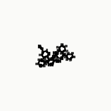 N#Cc1cnc(C(=N)OC(=N)N[C@H]2N=C(c3ccccc3)c3ccccc3NC2=O)c(N2CCOCC2)c1